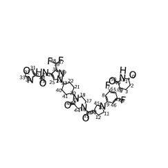 O=C1CC[C@H](c2c(F)cc(N3CC[C@@H](C(=O)N4CCN(C5CCC(n6cc(NC(=O)c7cocn7)c(C(F)F)n6)CC5)C(=O)C4)C3)cc2F)C(=O)N1